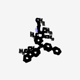 C=C/C=C\C(=C)N(C)c1cc(N(c2ccc(-c3ccccc3)cc2)c2ccc3c(c2)C(C)(C)c2ccccc2-3)ccc1C